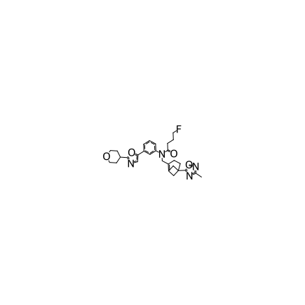 Cc1noc(C23CCC(CN(C(=O)CCCF)c4cccc(-c5cnc(C6CCOCC6)o5)c4)=C(C2)C3)n1